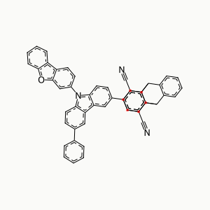 N#Cc1cccc2c1C1c3ccccc3C2c2c1ccc(-c1ccc3c(c1)c1cc(-c4ccccc4)ccc1n3-c1ccc3c(c1)oc1ccccc13)c2C#N